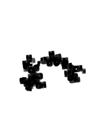 Cc1ncsc1-c1ccc(CNC(=O)[C@@H]2C[C@@H](O)CN2C(=O)[C@@H](NC(=O)C2(F)CC2)C(C)(C)C)c(OCCCC2CCN(CC(=O)Nc3cccc(Sc4cnc(N5CCC(C)(CNC(=O)OC(C)(C)C)CC5)cn4)c3Cl)CC2)c1